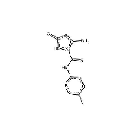 Cc1ccc(NC(=S)n2[nH]c(=O)cc2N)cc1